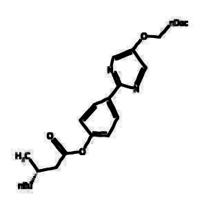 CCCCCCCCCCCOc1cnc(-c2ccc(OC(=O)C[C@@H](C)CCCC)cc2)nc1